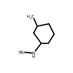 CC1CCCC(NC(C)(C)C)C1